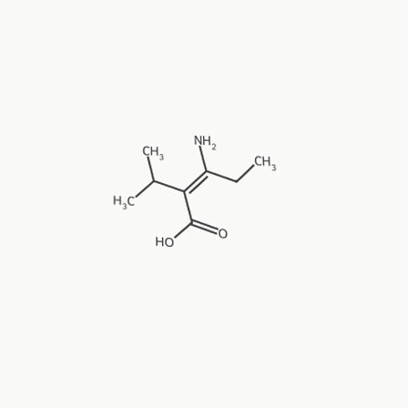 CCC(N)=C(C(=O)O)C(C)C